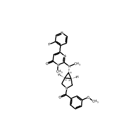 COc1cccc(C(=O)N2C[C@@H]3[C@H](C2)[C@H]3N(C)c2nc(-c3ccncc3F)cc(=O)n2C)c1